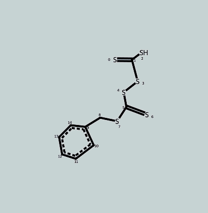 S=C(S)SSC(=S)SCc1ccccc1